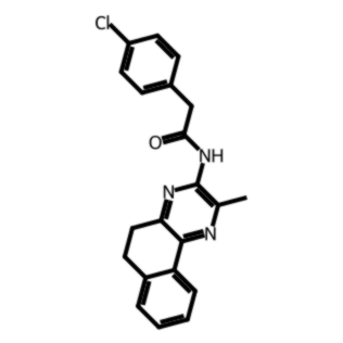 Cc1nc2c(nc1NC(=O)Cc1ccc(Cl)cc1)CCc1ccccc1-2